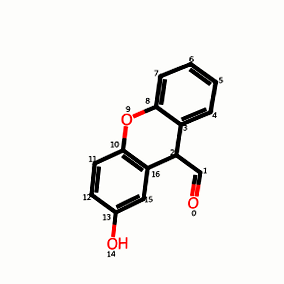 O=CC1c2ccccc2Oc2ccc(O)cc21